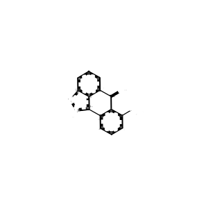 Cc1cccc2c1C(=O)c1cccc3[nH]nc-2c13